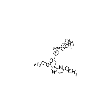 CCOC(=O)c1cnc2ccc(OC)nc2c1CCC12CCC(NC(=O)OC(C)(C)C)(CC1)CC2